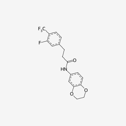 O=C(CCc1ccc(C(F)(F)F)c(F)c1)Nc1ccc2c(c1)OCCO2